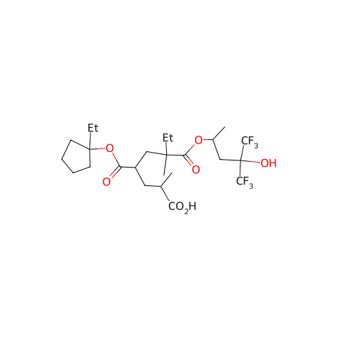 CCC1(OC(=O)C(CC(C)C(=O)O)CC(C)(CC)C(=O)OC(C)CC(O)(C(F)(F)F)C(F)(F)F)CCCC1